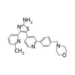 Cc1cccc(-c2nc(N)sc2-c2ccnc(-c3ccc(CN4CCOCC4)cc3)c2)n1